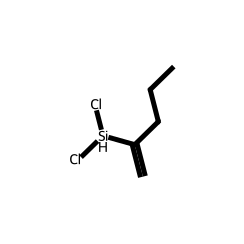 C=C(CCC)[SiH](Cl)Cl